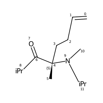 C=CCC[C@@](C)(C(=O)C(C)C)N(C)C(C)C